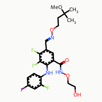 COC(C)(C)CCON=Cc1cc(C(=O)NOCCO)c(Nc2ccc(I)cc2F)c(F)c1F